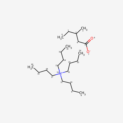 CCC(C)CC(=O)[O-].CCCC[N+](CCCC)(CCCC)CCCC